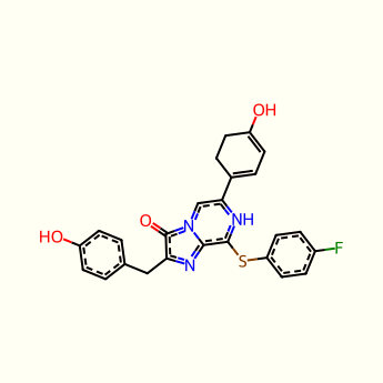 O=c1c(Cc2ccc(O)cc2)nc2c(Sc3ccc(F)cc3)[nH]c(C3=CC=C(O)CC3)cn1-2